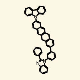 c1ccc(-c2nc3ccccc3n2-c2cccc(-c3ccc4c(c3)Cc3cc5ccc(-n6c7ccccc7c7ccccc76)cc5cc3C4)c2)cc1